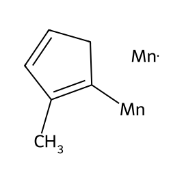 CC1=[C]([Mn])CC=C1.[Mn]